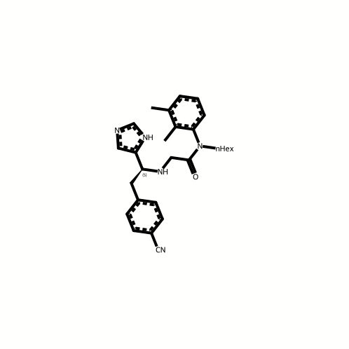 CCCCCCN(C(=O)CN[C@@H](Cc1ccc(C#N)cc1)c1cnc[nH]1)c1cccc(C)c1C